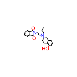 CCCN(CCN1C(=O)c2ccccc2C1=O)C1CCc2c(O)cccc2C1